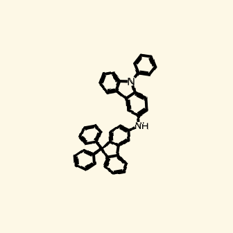 c1ccc(-n2c3ccccc3c3cc(Nc4ccc5c(c4)-c4ccccc4C5(c4ccccc4)c4ccccc4)ccc32)cc1